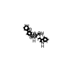 O=C(NO)[C@H](CCc1c[nH]c2ccccc12)NS(=O)(=O)c1ccc2c3c(oc2c1)CCCC3